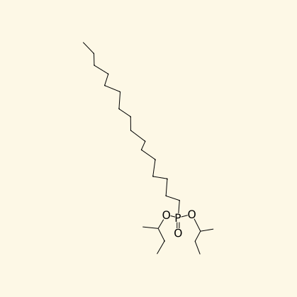 CCCCCCCCCCCCCCCCP(=O)(OC(C)CC)OC(C)CC